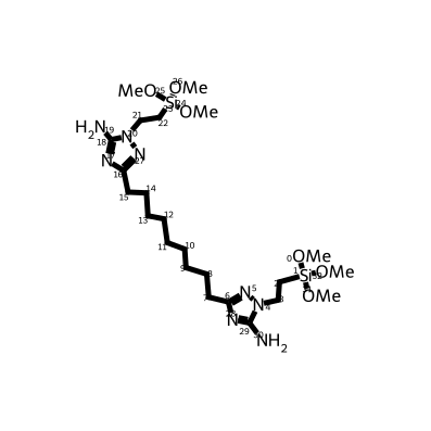 CO[Si](CCn1nc(CCCCCCCCCc2nc(N)n(CC[Si](OC)(OC)OC)n2)nc1N)(OC)OC